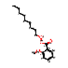 [CH2]CCCCCCC[CH]OOC(=O)c1ccccc1OC